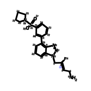 NC/C=C(\F)Cn1nnc2c(-c3cccc(S(=O)(=O)N4CCCC4)c3)cccc21